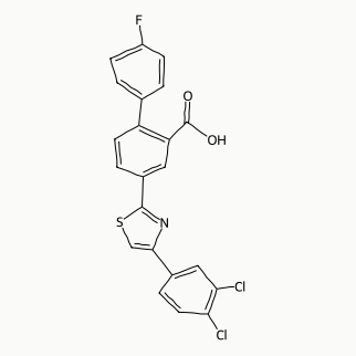 O=C(O)c1cc(-c2nc(-c3ccc(Cl)c(Cl)c3)cs2)ccc1-c1ccc(F)cc1